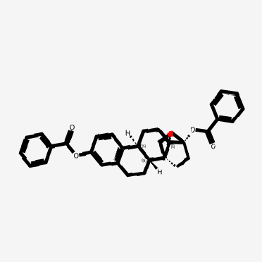 C[C@]12CC[C@@H]3c4ccc(OC(=O)c5ccccc5)cc4CC[C@H]3[C@]13CC[C@]2(OC(=O)c1ccccc1)CC3